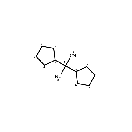 N#CC(C#N)(C1CCCC1)C1CCCC1